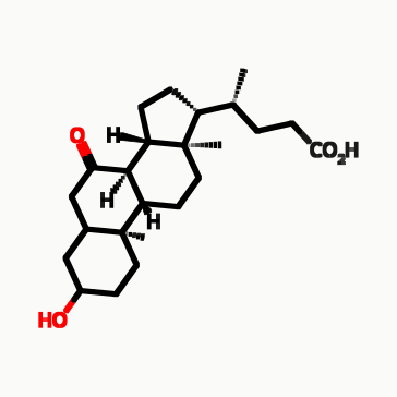 C[C@H](CCC(=O)O)[C@H]1CC[C@H]2[C@@H]3C(=O)CC4CC(O)CC[C@]4(C)[C@H]3CC[C@]12C